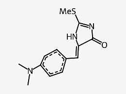 CSC1=NC(=O)/C(=C/c2ccc(N(C)C)cc2)N1